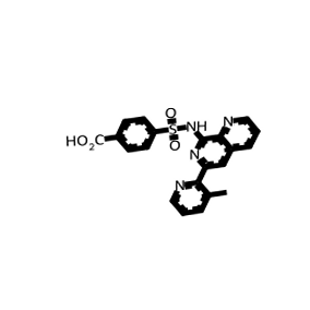 Cc1cccnc1-c1cc2cccnc2c(NS(=O)(=O)c2ccc(C(=O)O)cc2)n1